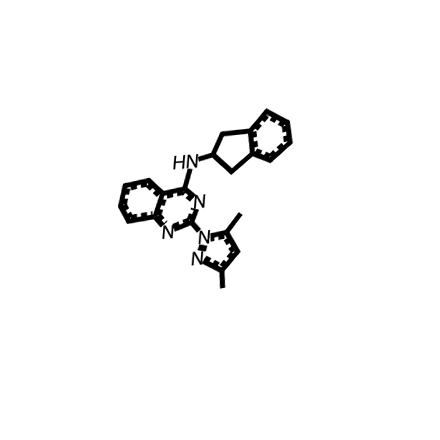 Cc1cc(C)n(-c2nc(NC3Cc4ccccc4C3)c3ccccc3n2)n1